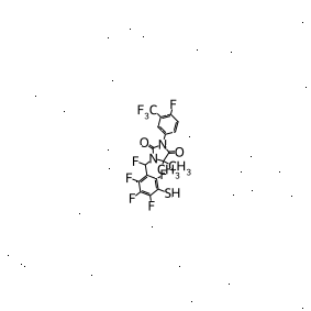 CC1(C)C(=O)N(c2ccc(F)c(C(F)(F)F)c2)C(=O)N1C(F)c1c(F)c(F)c(F)c(S)c1F